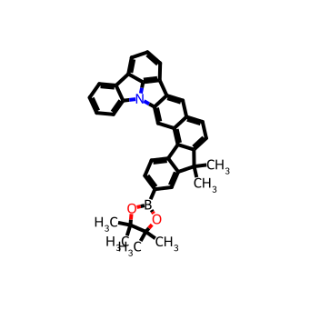 CC1(C)c2cc(B3OC(C)(C)C(C)(C)O3)ccc2-c2c1ccc1cc3c4cccc5c6ccccc6n(c3cc21)c54